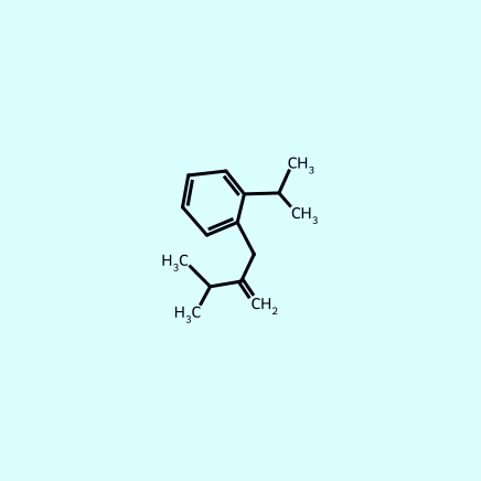 C=C(Cc1ccccc1C(C)C)C(C)C